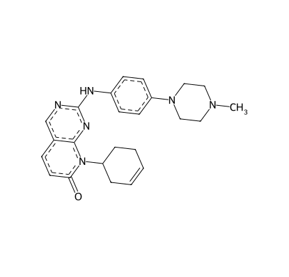 CN1CCN(c2ccc(Nc3ncc4ccc(=O)n(C5CC=CCC5)c4n3)cc2)CC1